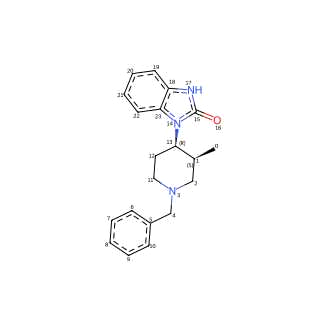 C[C@H]1CN(Cc2ccccc2)CC[C@H]1n1c(=O)[nH]c2ccccc21